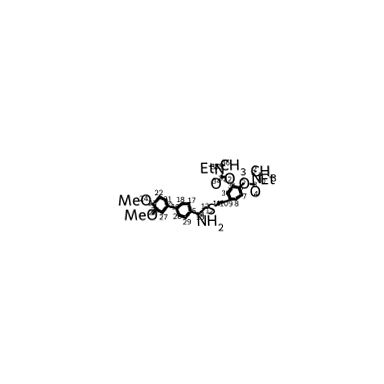 CCN(C)C(=O)Oc1ccc(/C=C/SCC(N)c2ccc(-c3ccc(OC)c(OC)c3)cc2)cc1OC(=O)N(C)CC